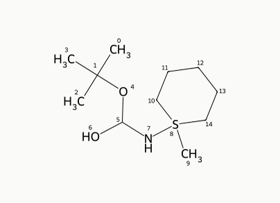 CC(C)(C)OC(O)NS1(C)CCCCC1